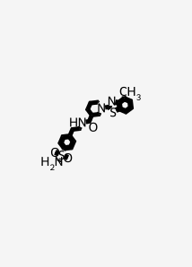 Cc1cccc2sc(N3CCCC(C(=O)NCCc4ccc(S(N)(=O)=O)cc4)C3)nc12